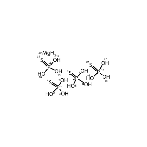 OP(O)(O)=S.OP(O)(O)=S.OP(O)(O)=S.OP(O)(O)=S.[MgH2]